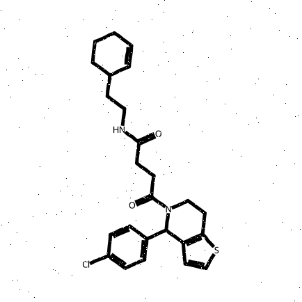 O=C(CCC(=O)N1CCc2sccc2C1c1ccc(Cl)cc1)NCCC1C=CCCC1